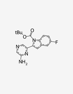 CC(C)(C)OC(=O)n1c(-c2cncc(N)n2)cc2cc(F)ccc21